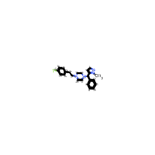 Cn1nccc1C(c1ccccc1)N1CCN(CCc2ccc(F)cc2)CC1